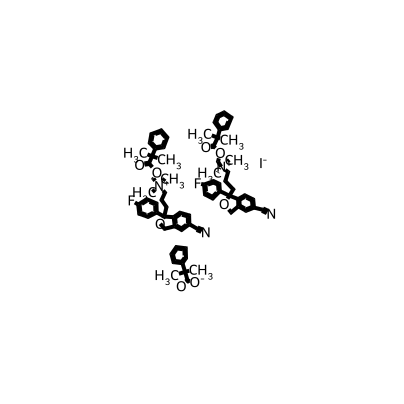 CC(C)(C(=O)OC[N+](C)(C)CCCC1(c2ccc(F)cc2)OCc2cc(C#N)ccc21)c1ccccc1.CC(C)(C(=O)OC[N+](C)(C)CCCC1(c2ccc(F)cc2)OCc2cc(C#N)ccc21)c1ccccc1.CC(C)(C(=O)[O-])c1ccccc1.[I-]